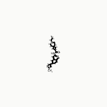 Cn1cc(-c2ccc3cnc(NC(=O)C4CC5(CCN(CCF)CC5)C4)cc3c2)cn1